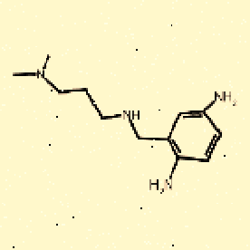 CN(C)CCCNCc1cc(N)ccc1N